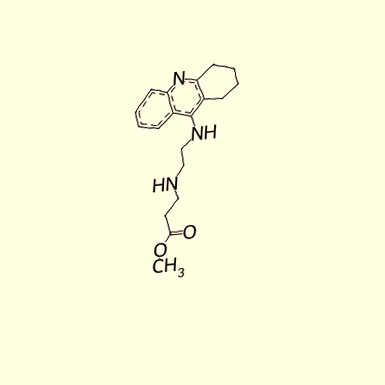 COC(=O)CCNCCNc1c2c(nc3ccccc13)CCCC2